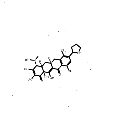 CCCN(C)[C@@H]1C(O)=C(C(C)=O)C(=O)[C@@]2(O)C(O)=C3C(=O)c4c(O)cc(C5CCCN5)c(C(F)(F)F)c4C[C@H]3C[C@@H]12